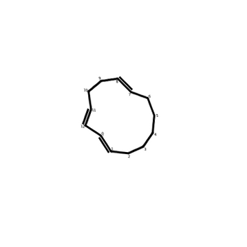 [C]1=C/CCCCC/C=C/CC/C=C/1